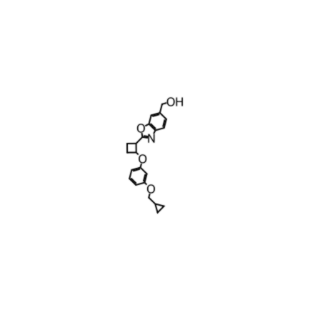 OCc1ccc2nc(C3CCC3Oc3cccc(OCC4CC4)c3)oc2c1